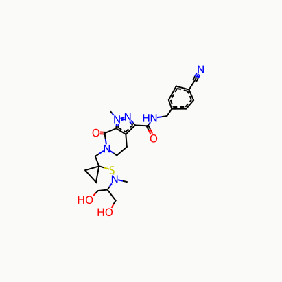 CN(SC1(CN2CCc3c(C(=O)NCc4ccc(C#N)cc4)nn(C)c3C2=O)CC1)C(CO)CO